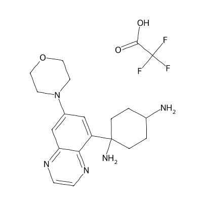 NC1CCC(N)(c2cc(N3CCOCC3)cc3nccnc23)CC1.O=C(O)C(F)(F)F